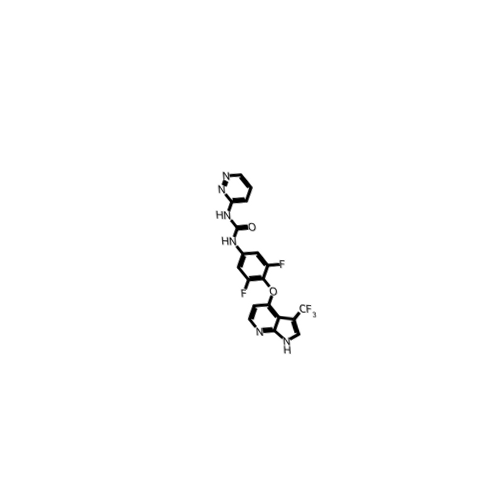 O=C(Nc1cc(F)c(Oc2ccnc3[nH]cc(C(F)(F)F)c23)c(F)c1)Nc1cccnn1